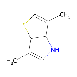 CC1=CSC2C(C)=CNC12